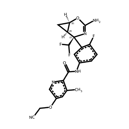 Cc1cc(OCC#N)cnc1C(=O)Nc1ccc(F)c([C@@]2(C(F)F)N=C(N)O[C@@H]3C[C@@H]32)c1